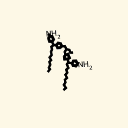 CCCCCCCCCCCC(c1ccc(N)cc1)c1ccc(CC(CCC)Cc2ccc(C(CCCCCCCCCCC)c3ccc(N)cc3)cc2)cc1